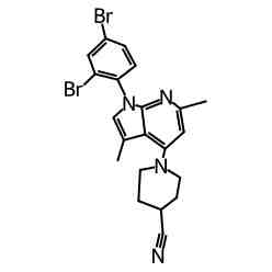 Cc1cc(N2CCC(C#N)CC2)c2c(C)cn(-c3ccc(Br)cc3Br)c2n1